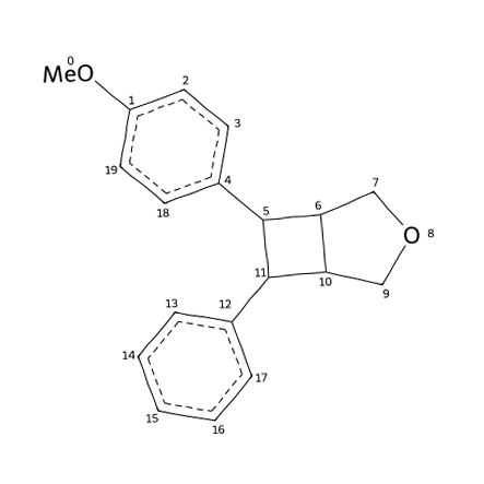 COc1ccc(C2C3COCC3C2c2ccccc2)cc1